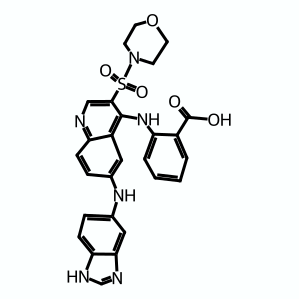 O=C(O)c1ccccc1Nc1c(S(=O)(=O)N2CCOCC2)cnc2ccc(Nc3ccc4[nH]cnc4c3)cc12